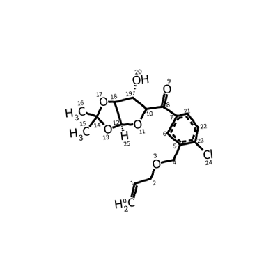 C=CCOCc1cc(C(=O)C2O[C@H]3OC(C)(C)OC3[C@@H]2O)ccc1Cl